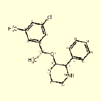 Cc1cc(Cl)cc([C@@H](C)OC2OCCNC2c2ccccc2)c1